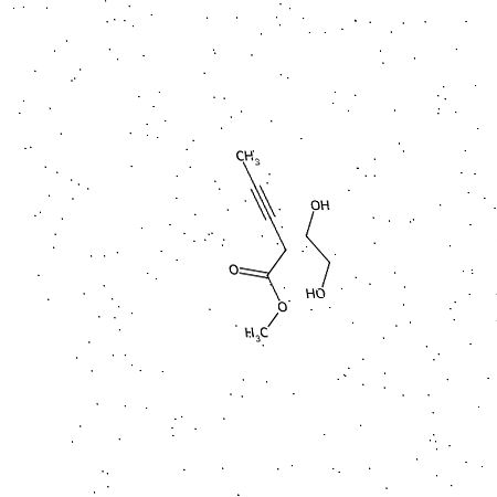 CC#CCC(=O)OC.OCCO